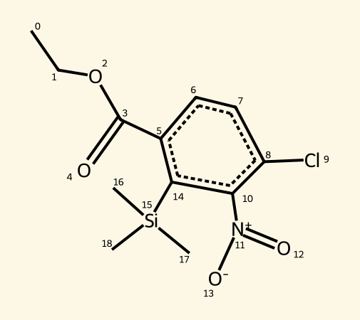 CCOC(=O)c1ccc(Cl)c([N+](=O)[O-])c1[Si](C)(C)C